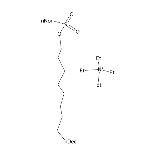 CCCCCCCCCCCCCCCCCCOS(=O)(=O)CCCCCCCCC.CC[N+](CC)(CC)CC